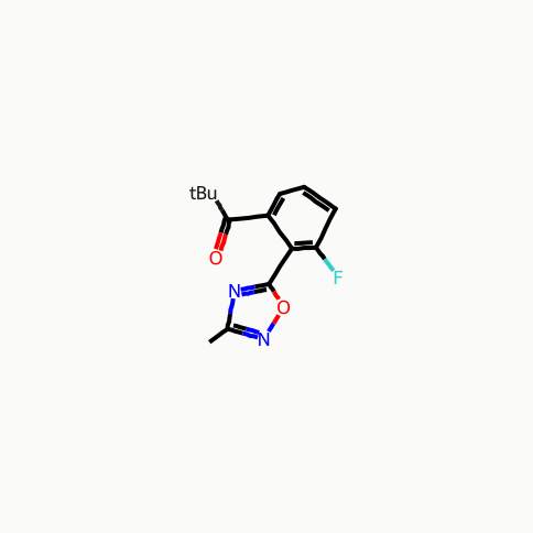 Cc1noc(-c2c(F)cccc2C(=O)C(C)(C)C)n1